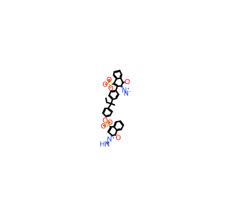 CCC(C)(c1ccc(OS(=O)(=O)C2=CC(=[N+]=N)C(=O)c3ccccc32)cc1)c1ccc(C2=C(S(=O)(=O)[O-])c3ccccc3C(=O)C2=[N+]=[N-])cc1